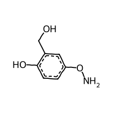 NOc1ccc(O)c(CO)c1